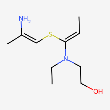 C/C=C(\S/C=C(/C)N)N(CC)CCO